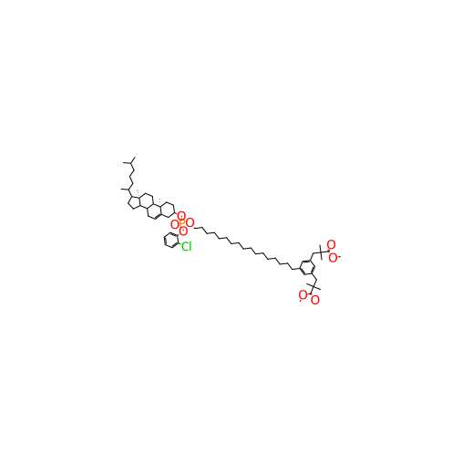 COC(=O)C(C)(C)Cc1cc(CCCCCCCCCCCCCCCCCOP(=O)(Oc2ccccc2Cl)O[C@@H]2CC[C@@]3(C)C(=CCC4C5CCC(C(C)CCCC(C)C)[C@@]5(C)CCC43)C2)cc(CC(C)(C)C(=O)OC)c1